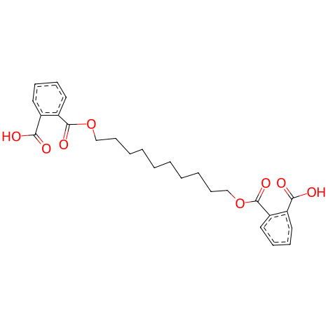 O=C(O)c1ccccc1C(=O)OCCCCCCCCCCOC(=O)c1ccccc1C(=O)O